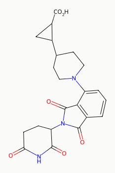 O=C1CCC(N2C(=O)c3cccc(N4CCC(C5CC5C(=O)O)CC4)c3C2=O)C(=O)N1